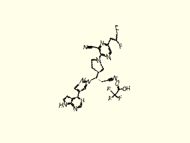 N#CC[C@@H]([C@H]1CCN(c2ncc(CC(F)F)nc2C#N)C1)n1cc(-c2ncnc3[nH]ccc23)cn1.O=C(O)C(F)(F)F